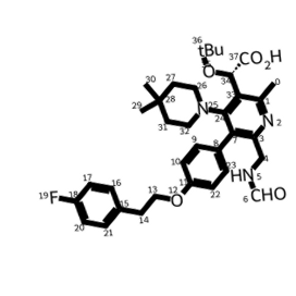 Cc1nc(CNC=O)c(-c2ccc(OCCc3ccc(F)cc3)cc2)c(N2CCC(C)(C)CC2)c1[C@H](OC(C)(C)C)C(=O)O